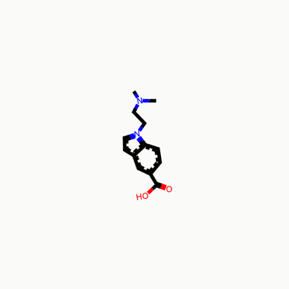 CN(C)CCn1ccc2cc(C(=O)O)ccc21